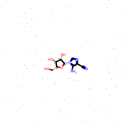 N#Cc1ncn([C@@H]2O[C@H](CO)[C@@H](O)[C@@H]2O)c1N